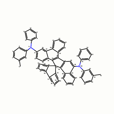 Cc1cccc(N(c2ccccc2)c2ccc3c4c(c5ccccc5c3c2)-c2cc(N(c3ccccc3)c3cccc(C)c3)c3ccccc3c2C42c3ccccc3-c3ccccc32)c1